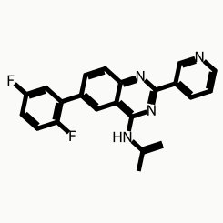 C=C(C)Nc1nc(-c2cccnc2)nc2ccc(-c3cc(F)ccc3F)cc12